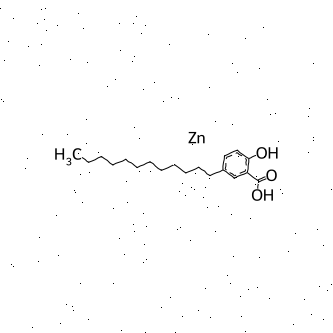 CCCCCCCCCCCCc1ccc(O)c(C(=O)O)c1.[Zn]